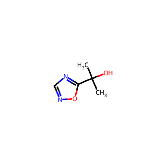 CC(C)(O)c1n[c]no1